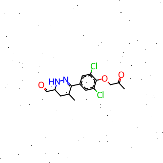 CC(=O)COc1c(Cl)cc(C2=NNC(C=O)CC2C)cc1Cl